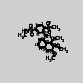 CNS(=O)(=O)c1ccc(S(C)(=O)=O)c(Nc2ncnc3cc(OC)c(OC)c(OC)c23)c1